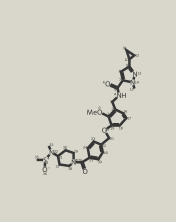 COc1c(CNC(=O)c2cc(C3CC3)nn2C)cccc1OCc1ccc(C(=O)N2CCC(N(C)[S+](C)[O-])CC2)cc1